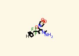 C=C(/C(=C\N=C(/C)N)C(=O)N1CCS(=O)(=O)CC1)C(F)(F)C(F)[C@]12CC[C@@H](CC1)C2(C)C